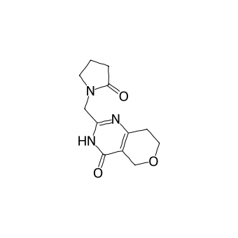 O=C1CCCN1Cc1nc2c(c(=O)[nH]1)COCC2